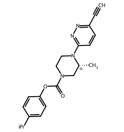 C#Cc1ccc(N2CCN(C(=O)Oc3ccc(C(C)C)cc3)C[C@H]2C)nn1